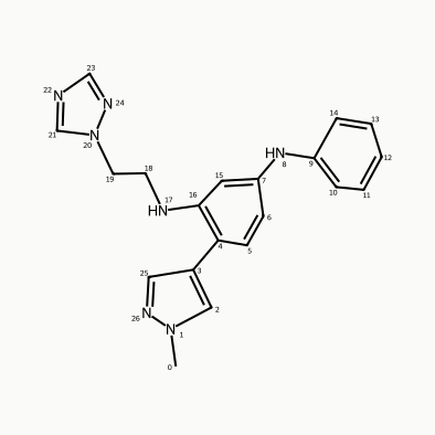 Cn1cc(-c2ccc(Nc3ccccc3)cc2NCCn2cncn2)cn1